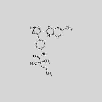 C=CCC(C)(C)C(=O)Nc1ccc(-c2n[nH]cc2-c2nc3ccc(C)cc3o2)cc1